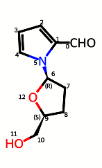 O=Cc1cccn1[C@H]1CC[C@@H](CO)O1